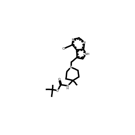 CC1(NC(=O)OC(C)(C)C)CCN(Cc2c[nH]c3ncnc(Cl)c23)CC1